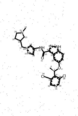 C[C@@H](Oc1ccc2[nH]nc(C(=O)Nc3cnn(CC4CCN(C)C4)c3)c2c1)c1c(Cl)cncc1Cl